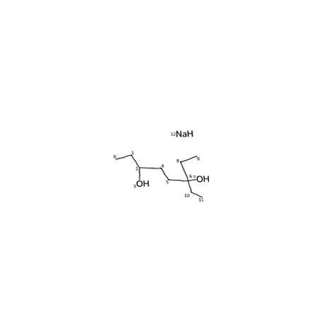 CCC(O)CCC(O)(CC)CC.[NaH]